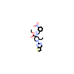 CCOC(=O)C1(NCc2cccc([N+](=O)[O-])c2)CCN(c2ncc3ccsc3n2)C(CC)C1